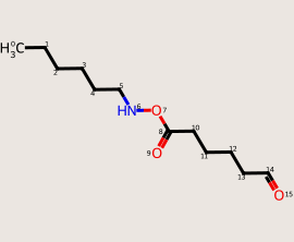 CCCCCCNOC(=O)CCCCC=O